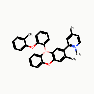 Cc1ccccc1Oc1ccccc1B1c2ccccc2Oc2cc(C)c(-c3cc(C(C)(C)C)cc[n+]3C)cc21